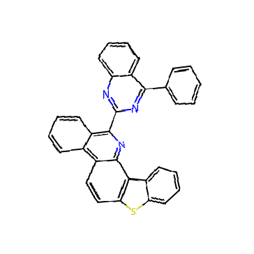 c1ccc(-c2nc(-c3nc4c(ccc5sc6ccccc6c54)c4ccccc34)nc3ccccc23)cc1